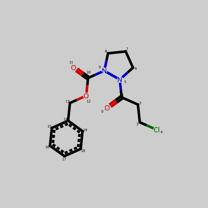 O=C(CCCl)N1CCCN1C(=O)OCc1ccccc1